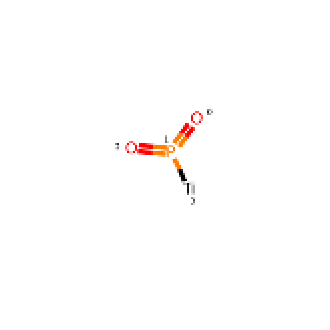 O=[P](=O)[Ti]